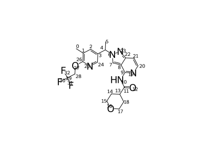 Cc1cc(C(C)n2cc3c(NC(=O)C4CCOCC4)nccc3n2)cnc1OCC(F)(F)F